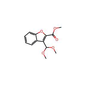 COC(=O)c1oc2ccccc2c1C(OC)OC